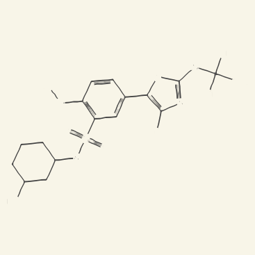 COc1ccc(-c2sc(NC(C)(C)C)nc2C)cc1S(=O)(=O)NC1CCCC(O)C1